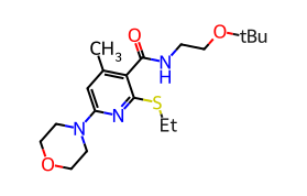 CCSc1nc(N2CCOCC2)cc(C)c1C(=O)NCCOC(C)(C)C